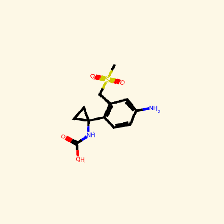 CS(=O)(=O)Cc1cc(N)ccc1C1(NC(=O)O)CC1